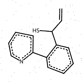 C=CC(S)c1ccccc1-c1ccccn1